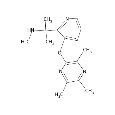 CNC(C)(C)c1ncccc1Oc1nc(C)c(C)nc1C